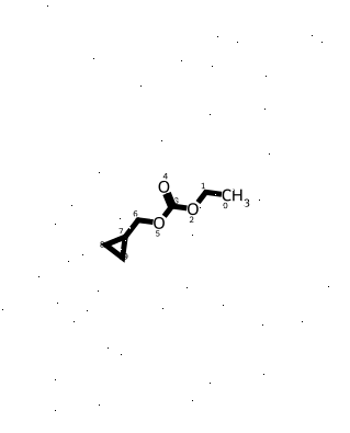 CCOC(=O)OCC1CC1